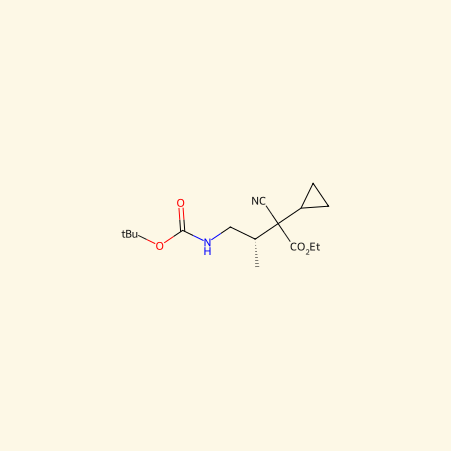 CCOC(=O)C(C#N)(C1CC1)[C@H](C)CNC(=O)OC(C)(C)C